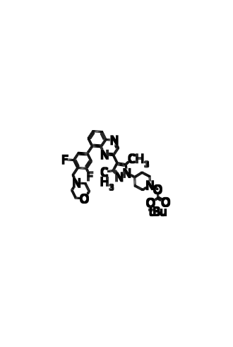 Cc1nn(C2CCN(OC(=O)OC(C)(C)C)CC2)c(C)c1-c1cnc2cccc(-c3cc(F)c(CN4CCOCC4)c(F)c3)c2n1